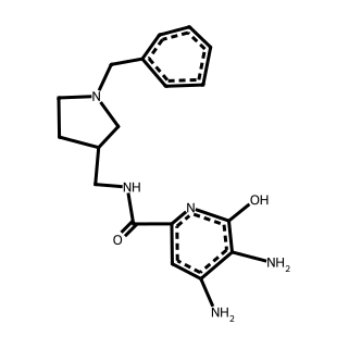 Nc1cc(C(=O)NCC2CCN(Cc3ccccc3)C2)nc(O)c1N